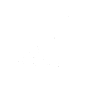 CCOc1ncc(F)cc1-n1c(C=C(C)C)c(C(=O)N2CCNCC2)cc(-c2nc(-c3ccc(Cl)cc3)cs2)c1=O